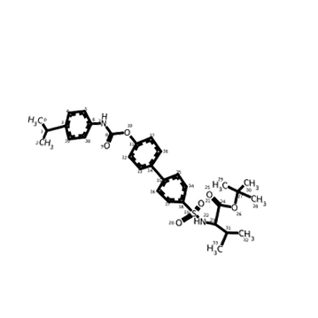 CC(C)c1ccc(NC(=O)Oc2ccc(-c3ccc(S(=O)(=O)NC(C(=O)OC(C)(C)C)C(C)C)cc3)cc2)cc1